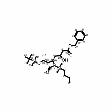 CCCC[Si](C)(C)N1C(=O)[C@H]([C@@H](C)O[Si](C)(C)C(C)(C)C)[C@H]1CC(O)CC(=O)OCc1ccccc1